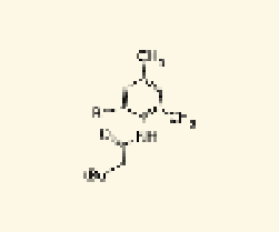 Cc1cc(C)c(NC(=O)CC(C)(C)C)c(Br)c1